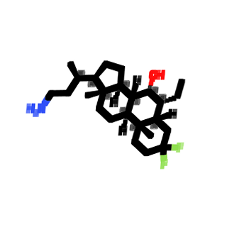 CC[C@H]1[C@@H](O)[C@@H]2[C@H](CC[C@]3(C)[C@@H]([C@H](C)CCN)CC[C@@H]23)[C@@]2(C)CCC(F)(F)C[C@@H]12